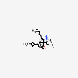 C=C(C)C(/C(N)=C/CCCC)(C(C)CC)C1OCC1CCC1CC(C)C1